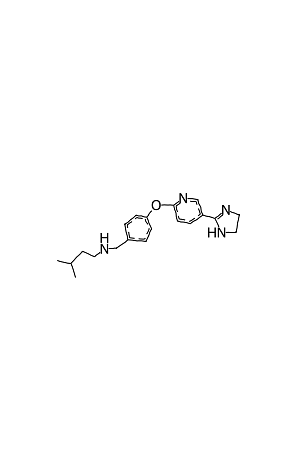 CC(C)CCNCc1ccc(Oc2ccc(C3=NCCN3)cn2)cc1